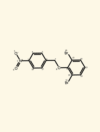 O=[N+]([O-])c1ccc(COc2c(Br)cccc2Br)cc1